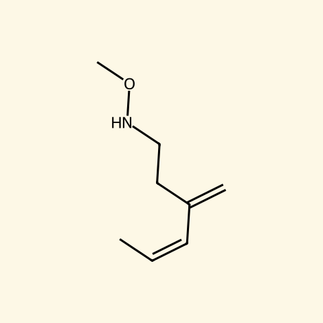 C=C(/C=C\C)CCNOC